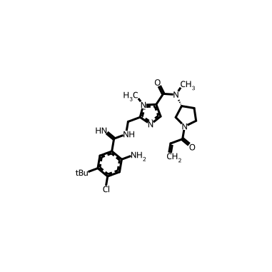 C=CC(=O)N1CC[C@@H](N(C)C(=O)c2cnc(CNC(=N)c3cc(C(C)(C)C)c(Cl)cc3N)n2C)C1